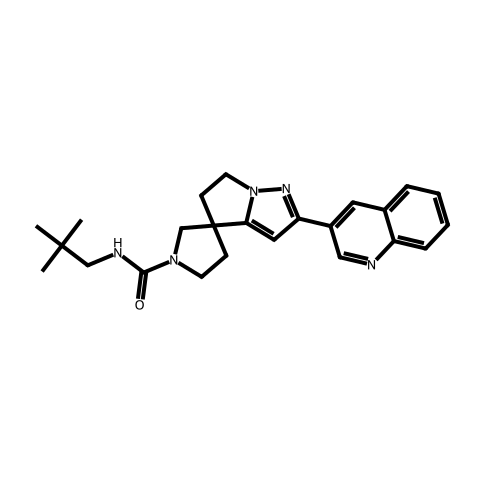 CC(C)(C)CNC(=O)N1CCC2(CCn3nc(-c4cnc5ccccc5c4)cc32)C1